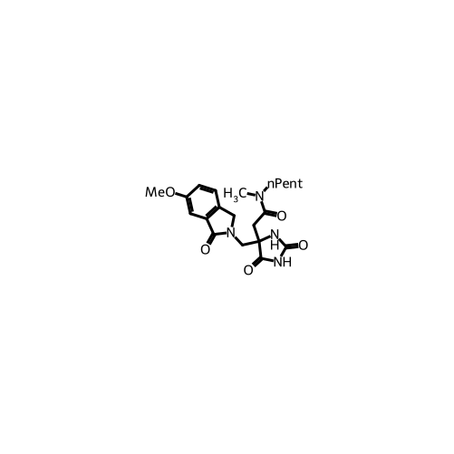 CCCCCN(C)C(=O)CC1(CN2Cc3ccc(OC)cc3C2=O)NC(=O)NC1=O